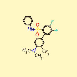 CN(C)c1ccc(-c2cc(F)c(F)cc2S(=O)(=O)Nc2ccccc2)cc1C(F)(F)F